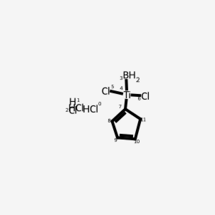 Cl.Cl.Cl.[BH2][Ti]([Cl])([Cl])[C]1=CC=CC1